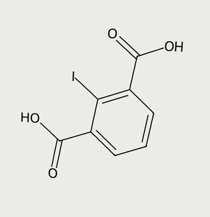 O=C(O)c1cccc(C(=O)O)c1I